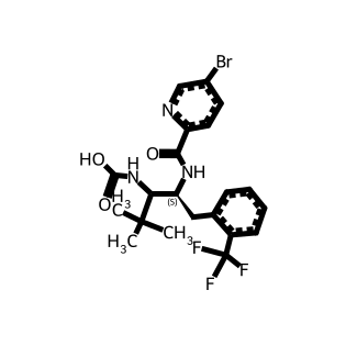 CC(C)(C)C(NC(=O)O)[C@H](Cc1ccccc1C(F)(F)F)NC(=O)c1ccc(Br)cn1